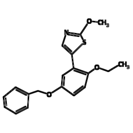 CCOc1ccc(OCc2ccccc2)cc1-c1cnc(OC)s1